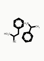 CC(N)c1ccccc1.[C-]#[N+]C(Cc1ccccc1)C(=O)O